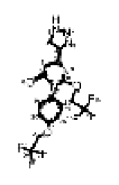 O=c1cc(C2CNN=N2)nc(OCC(F)(F)F)n1-c1ccc(OCC(F)(F)F)cc1